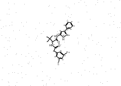 CC(C)(C)C(NC(=O)Cc1cc(F)cc(F)c1)C(=O)Nc1cc(-c2ccccc2)n[nH]1